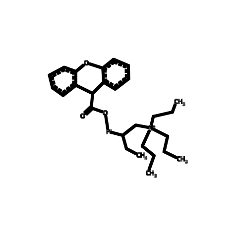 CCC[N+](CCC)(CCC)CC(CC)[P-]OC(=O)C1c2ccccc2Oc2ccccc21